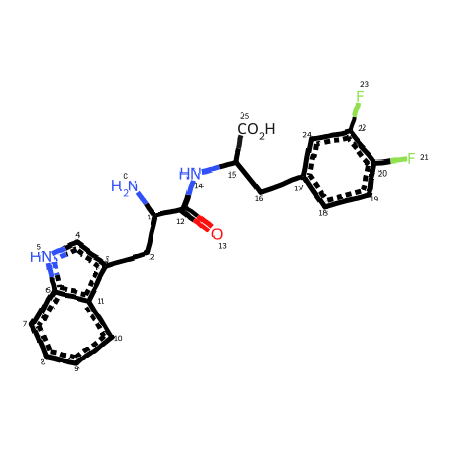 NC(Cc1c[nH]c2ccccc12)C(=O)NC(Cc1ccc(F)c(F)c1)C(=O)O